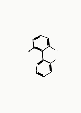 Nc1cccc(O)c1-c1ncccc1Cl